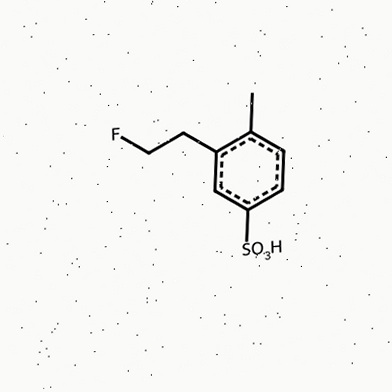 Cc1ccc(S(=O)(=O)O)cc1CCF